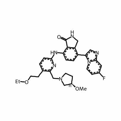 CCOCCc1ccc(Nc2ccc(-c3cnc4cc(F)ccn34)c3c2C(=O)NC3)nc1CN1CC[C@@H](OC)C1